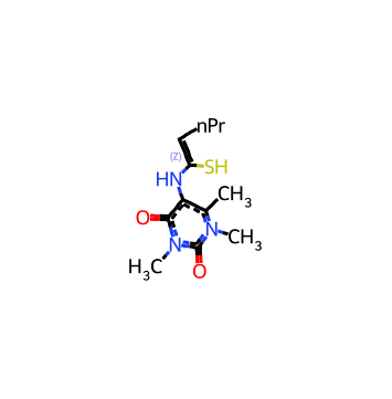 CCC/C=C(\S)Nc1c(C)n(C)c(=O)n(C)c1=O